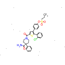 NC(=O)C1(c2ccccc2)CCN(C(=O)c2cc(-c3ccc(OS(=O)(=O)CCC(F)(F)F)cc3)c(-c3ccccc3Cl)s2)CC1